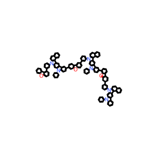 C1=CC(c2cccc(-n3c4cc5c(cc4c4c6ccccc6ccc43)c3ccccc3n5-c3ccccc3)c2)Cc2oc3c(-c4ccc5c(c4)c4cc6c7c8ccccc8ccc7n(-c7cccc(-c8ccc9oc%10cc(-c%11ccc%12c(c%11)c%11cc%13c%14c%15ccccc%15ccc%14n(-c%14cccc(-c%15cccc%16oc%17ccccc%17c%15%16)c%14)c%13cc%11n%12-c%11ccccc%11)ccc%10c9c8)c7)c6cc4n5-c4ccccc4)cccc3c21